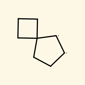 [CH]1[CH]C2(CC1)CCC2